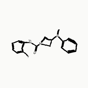 CN(c1ccccc1)C1CN(C(=O)Nc2ccccc2F)C1